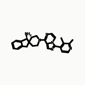 Cc1nccc(-c2ncc3c(N4CCC5(CC4)Cc4ccccc4[C@H]5N)nccn23)c1C